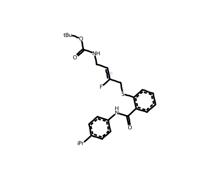 CC(C)c1ccc(NC(=O)c2ccccc2SC/C(F)=C/CNC(=O)OC(C)(C)C)cc1